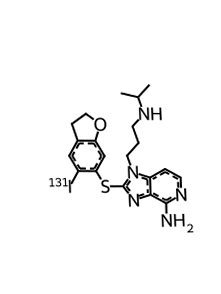 CC(C)NCCCn1c(Sc2cc3c(cc2[131I])CCO3)nc2c(N)nccc21